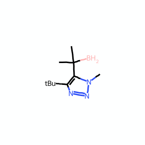 BC(C)(C)c1c(C(C)(C)C)nnn1C